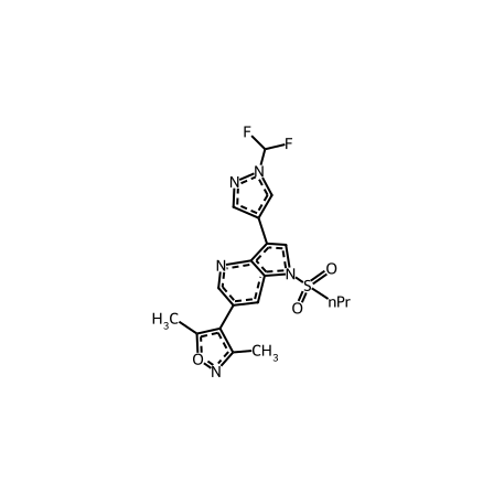 CCCS(=O)(=O)n1cc(-c2cnn(C(F)F)c2)c2ncc(-c3c(C)noc3C)cc21